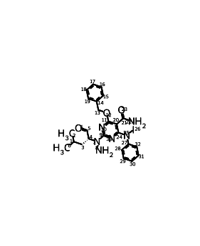 CC(C)C[C@H](C=O)N(N)c1nc(OCc2ccccc2)c(C(N)=O)c(N(I)c2ccccc2)n1